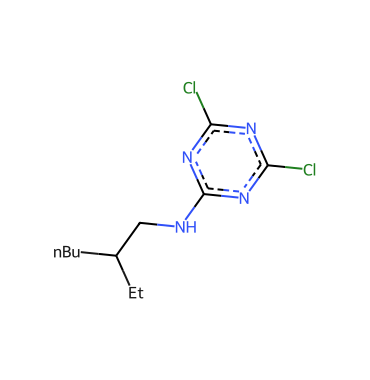 CCCCC(CC)CNc1nc(Cl)nc(Cl)n1